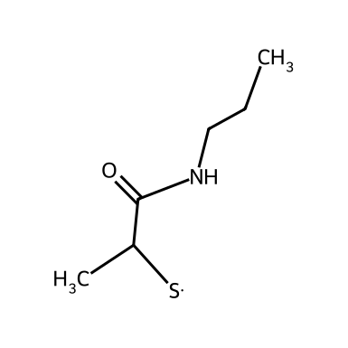 CCCNC(=O)C(C)[S]